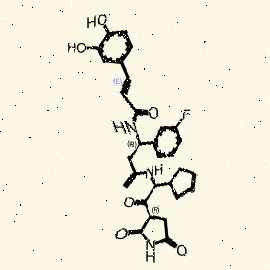 C=C(C[C@@H](NC(=O)/C=C/c1ccc(O)c(O)c1)c1cccc(F)c1)NC(C(=O)[C@H]1CC(=O)NC1=O)C1CCCC1